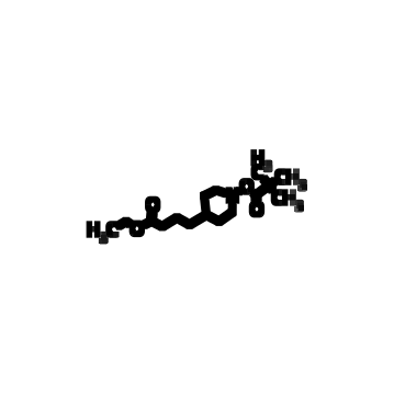 CCOC(=O)CCCC1CCN(OC(=O)C(C)(C)C)CC1